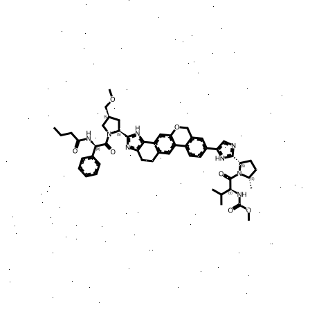 CCCC(=O)N[C@@H](C(=O)N1C[C@@H](COC)C[C@H]1c1nc2c([nH]1)-c1cc3c(cc1CC2)-c1ccc(-c2cnc([C@@H]4CC[C@H](C)N4C(=O)[C@@H](NC(=O)OC)C(C)C)[nH]2)cc1CO3)c1ccccc1